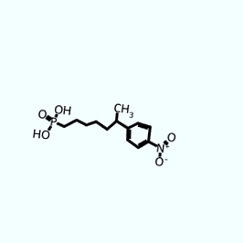 CC(CCCCCP(=O)(O)O)c1ccc([N+](=O)[O-])cc1